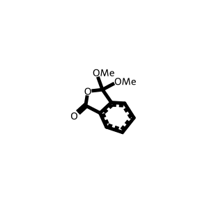 COC1(OC)OC(=O)c2ccccc21